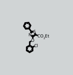 CCOC(=O)c1sc(-c2ccccc2)nc1OCc1ccccc1Cl